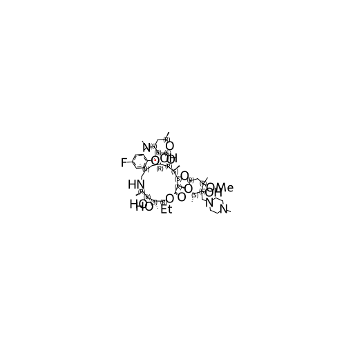 CC[C@H]1OC(=O)[C@H](C)[C@@H](O[C@H]2C[C@@](C)(OC)[C@](O)(CN3CCN(C)CC3)[C@H](C)O2)[C@H](C)[C@@H](O[C@@H]2O[C@H](C)C[C@H](N(C)C)[C@H]2Oc2ccc(F)cc2)[C@](C)(O)C[C@@H](C)CN[C@H](C)[C@@H](O)[C@]1(C)O